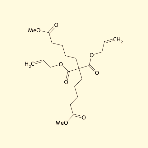 C=CCOC(=O)C(CCCCC(=O)OC)(CCCCC(=O)OC)C(=O)OCC=C